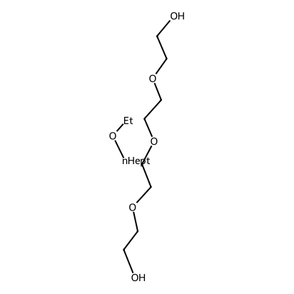 CCCCCCCOCC.OCCOCCOCCOCCO